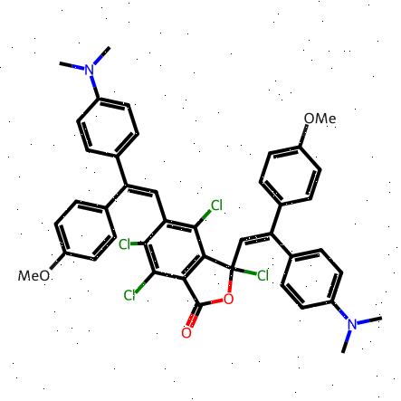 COc1ccc(C(=Cc2c(Cl)c(Cl)c3c(c2Cl)C(Cl)(C=C(c2ccc(OC)cc2)c2ccc(N(C)C)cc2)OC3=O)c2ccc(N(C)C)cc2)cc1